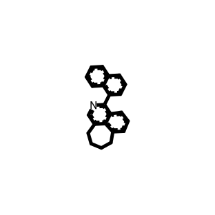 c1ccc2c(-c3ncc4c5c(cccc35)CCCC4)cccc2c1